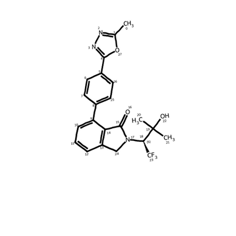 Cc1nnc(-c2ccc(-c3cccc4c3C(=O)N([C@@H](C(C)(C)O)C(F)(F)F)C4)cc2)o1